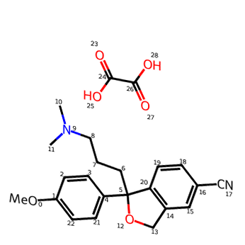 COc1ccc(C2(CCCN(C)C)OCc3cc(C#N)ccc32)cc1.O=C(O)C(=O)O